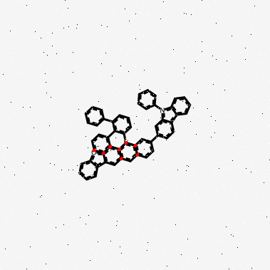 c1ccc(-c2ccccc2-c2c(-c3ccccc3)cccc2N(c2cccc(-c3ccc4c5ccccc5n(-c5ccccc5)c4c3)c2)c2ccc3c(c2)oc2ccccc23)cc1